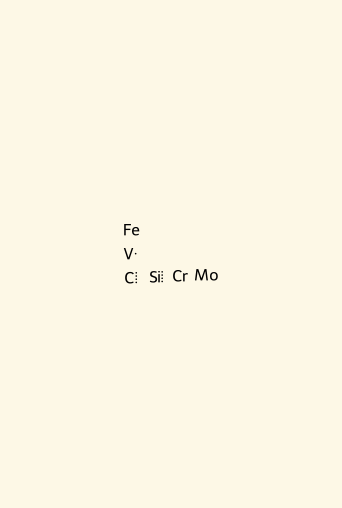 [C].[Cr].[Fe].[Mo].[Si].[V]